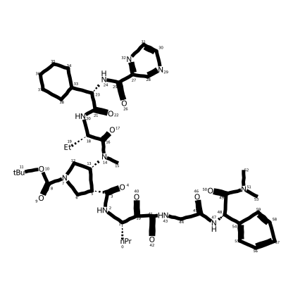 CCC[C@H](NC(=O)[C@@H]1CN(C(=O)OC(C)(C)C)C[C@@H]1N(C)C(=O)[C@H](CC)NC(=O)[C@@H](NC(=O)c1cnccn1)C1CCCCC1)C(=O)C(=O)NCC(=O)N[C@H](C(=O)N(C)C)c1ccccc1